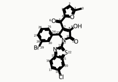 Cc1ccc(C(=O)C2=C(O)C(=O)N(c3nc4ccc(Cl)cc4s3)C2c2cccc(Br)c2)o1